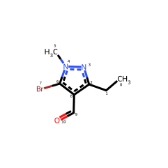 CCc1nn(C)c(Br)c1C=O